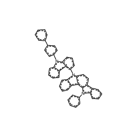 c1ccc(-c2ccc(-n3c4ccccc4c4c(-n5c6ccccc6c6c5ccc5c7ccccc7n(-c7ccccc7)c56)cccc43)cc2)cc1